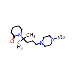 CC(C)(C)N1CCN(CCCC(C)(C)N2CCCCC2=O)CC1